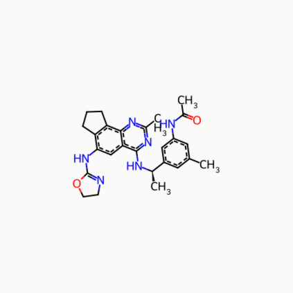 CC(=O)Nc1cc(C)cc([C@@H](C)Nc2nc(C)nc3c4c(c(NC5=NCCO5)cc23)CCC4)c1